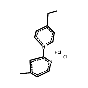 CCc1cc[n+](-c2cc(C)ccn2)cc1.Cl.[Cl-]